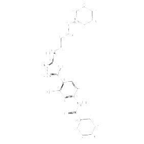 O=C(Nc1ccc(-c2nnc(NCCCCN3CCCCC3)o2)c(F)c1)C1CCCCC1